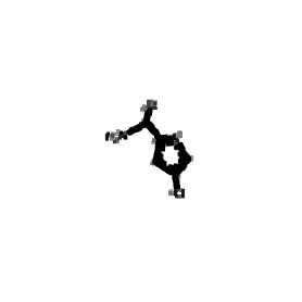 CCC(N)c1cc(Cl)cs1